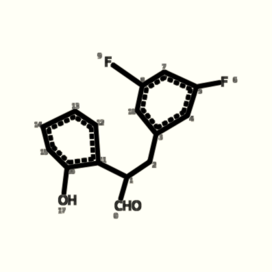 O=CC(Cc1cc(F)cc(F)c1)c1ccccc1O